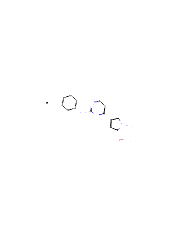 Cc1c(-c2ccnc(Nc3cccc(OC(F)(F)F)c3)n2)c(C)n2c1C(=O)NCC2